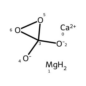 [Ca+2].[MgH2].[O-]C1([O-])OO1